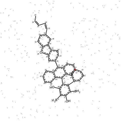 Bc1c(O)c(B)c(-c2ccccc2)c(-c2c3ccccc3c(-c3ccc4c(c3)oc3ccc(/C=C\C=C/C)cc34)c3ccccc23)c1O